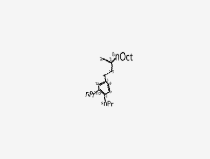 CCCCCCCCC(C)[CH]Cc1ccc(CCC)c(CCC)c1